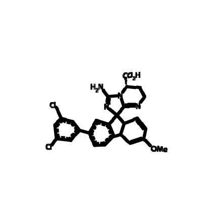 COC1=CC(C)C(C2(c3cccc(-c4cc(Cl)cc(Cl)c4)c3)N=C(N)N3C2=NCC[C@H]3C(=O)O)C=C1